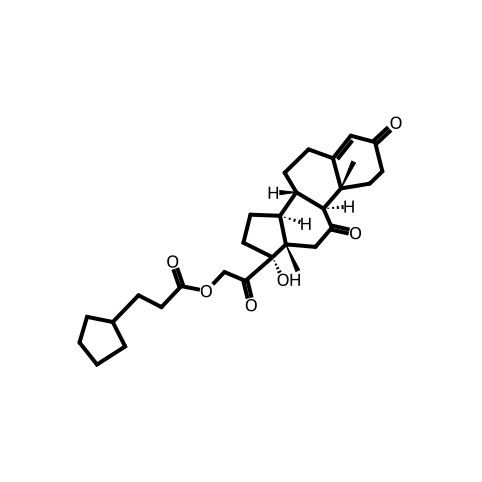 C[C@]12CCC(=O)C=C1CC[C@@H]1[C@@H]2C(=O)C[C@@]2(C)[C@H]1CC[C@]2(O)C(=O)COC(=O)CCC1CCCC1